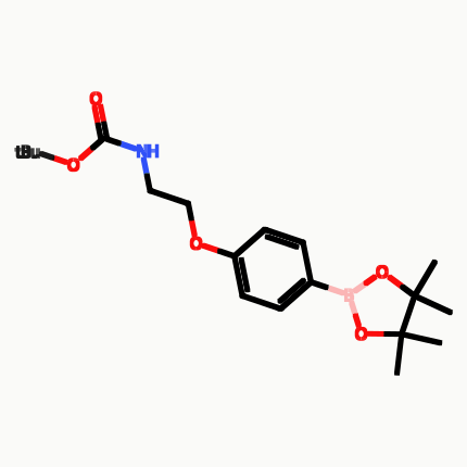 CC(C)(C)OC(=O)NCCOc1ccc(B2OC(C)(C)C(C)(C)O2)cc1